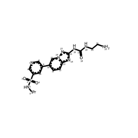 CC(C)NS(=O)(=O)c1cncc(-c2ccc3nc(NC(=O)NCCN)nn3c2)c1